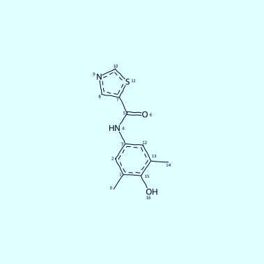 Cc1cc(NC(=O)c2cncs2)cc(C)c1O